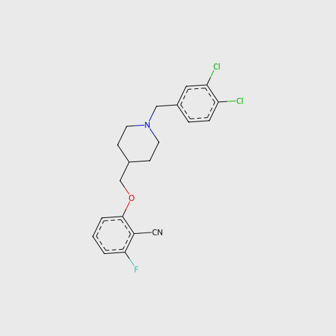 N#Cc1c(F)cccc1OCC1CCN(Cc2ccc(Cl)c(Cl)c2)CC1